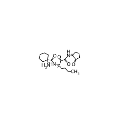 CCCC[C@H](NC(=O)C1(N)CCCCC1)C(=O)C(=O)N[C@@H]1CCCC1=O